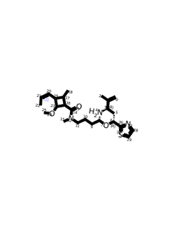 C=C(C)[C@H](N)C[C@@H](OCCCCN(C)C(=O)C1C(C)C(/C=C\C)C1OC)c1nccs1